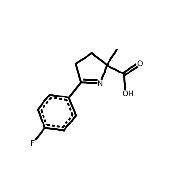 CC1(C(=O)O)CCC(c2ccc(F)cc2)=N1